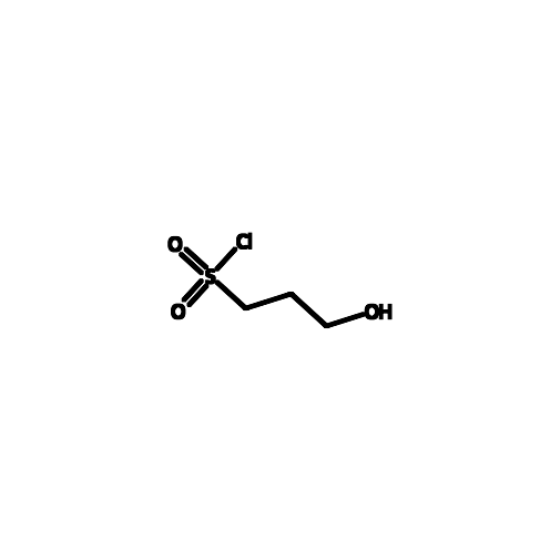 O=S(=O)(Cl)CCCO